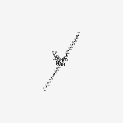 CCCCCCCCCCCCCCCCCC(=O)NC(COC(=O)CCCCCCCCCCCCCCCCC)C(=O)NC(C)(C)C(C)(C)CC(C)C